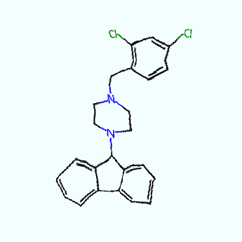 Clc1ccc(CN2CCN(C3c4ccccc4-c4ccccc43)CC2)c(Cl)c1